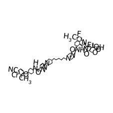 CC[C@@]1(O)C(=O)OCc2c1cc1n(c2=O)Cc2c-1nc1cc(F)c(C)c3c1c2[C@@H](NC(=O)CN1CCN(CCCCCCC2CCN(c4ccc(C(=O)NC5CCC(Oc6ccc(C#N)c(Cl)c6C)CC5)nn4)CC2)CC1)CC3